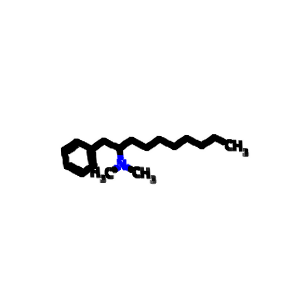 CCCCCCCCC(Cc1ccccc1)N(C)C